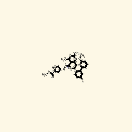 COC(=O)[C@@H]1C[C@@H](O/N=C2\N[C@@H](c3ccc(F)cc3-c3cccc(OC)n3)Cc3nc(N)nc(C)c32)CN1